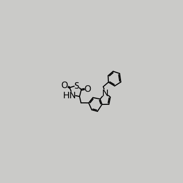 O=C1NC(Cc2ccc3ccn(Cc4ccccc4)c3c2)C(=O)S1